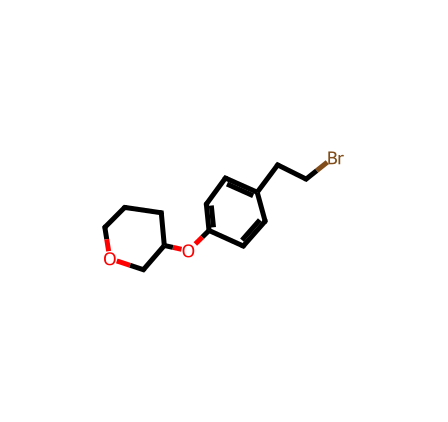 BrCCc1ccc(OC2CCCOC2)cc1